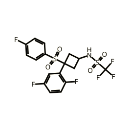 O=S(=O)(NC1CC(c2cc(F)ccc2F)(S(=O)(=O)c2ccc(F)cc2)C1)C(F)(F)F